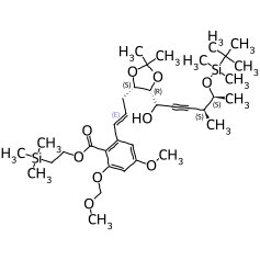 COCOc1cc(OC)cc(/C=C/C[C@@H]2OC(C)(C)O[C@@H]2C(O)C#C[C@H](C)[C@H](C)O[Si](C)(C)C(C)(C)C)c1C(=O)OCC[Si](C)(C)C